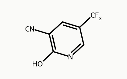 [C-]#[N+]c1cc(C(F)(F)F)cnc1O